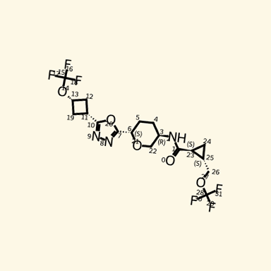 O=C(N[C@@H]1CC[C@@H](c2nnc([C@H]3C[C@@H](OC(F)(F)F)C3)o2)OC1)[C@H]1C[C@@H]1COC(F)(F)F